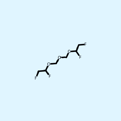 FCC(F)OCOCOC(F)CF